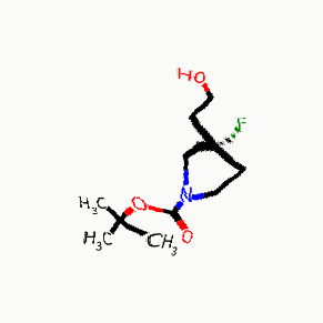 CC(C)(C)OC(=O)N1CC[C@](F)(CCO)C1